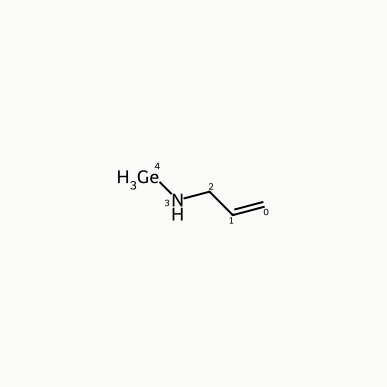 C=CC[NH][GeH3]